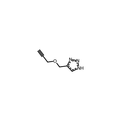 C#CCOCc1c[nH]nn1